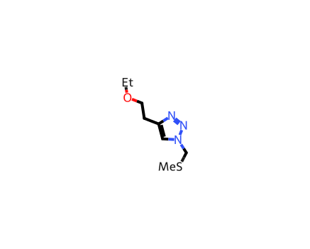 CCOCCc1cn(CSC)nn1